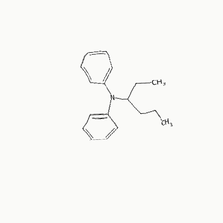 CCCC(CC)N(c1cc[c]cc1)c1ccccc1